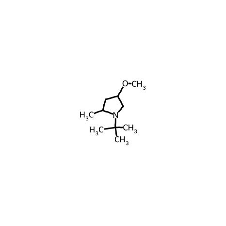 COC1CC(C)N(C(C)(C)C)C1